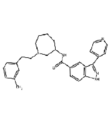 Cc1cccc(CCN2CCCCC(NC(=O)c3ccc4[nH]nc(-c5ccncc5)c4c3)C2)c1